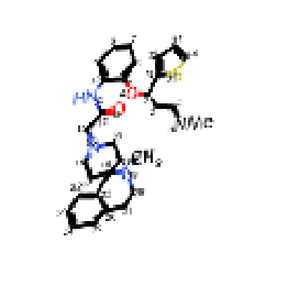 CNCC[C@@H](Oc1ccccc1NC(=O)CN1CCC2(CC1)c1ccccc1CCN2C)c1cccs1